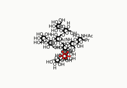 CC(=O)N[C@@H]1C(O[C@@H]2C(CO)OC(C(C)C)[C@@H](NC(C)=O)[C@H]2O)OC(CO)[C@@H](OC2OC(COC3OC(COC4OC(CO)[C@@H](O)[C@H](O)[C@H]4OC4OC(CO)[C@@H](O)[C@H](O)[C@H]4O)[C@@H](O)[C@H](OC4O[C@@H](CO)[C@@H](O)[C@H](O)C4OC4O[C@@H](CO)[C@@H](O)[C@H](O)C4O)[C@H]3O)[C@@H](O)[C@H](OC3O[C@@H](CO)[C@@H](O)[C@H](O)C3OC3O[C@@H](CO)[C@@H](O)[C@H](O)C3OC3O[C@@H](CO)[C@@H](O)[C@H](O)C3O)[C@H]2O)[C@@H]1O